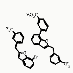 FC(F)(F)c1cccc(Cc2cc3cccc(Br)c3o2)c1.O=C(O)c1cccc(-c2cccc3cc(Cc4cccc(C(F)(F)F)c4)oc23)c1